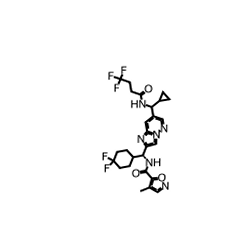 Cc1cnoc1C(=O)N[C@H](c1cn2ncc(C(NC(=O)CCC(F)(F)F)C3CC3)cc2n1)C1CCC(F)(F)CC1